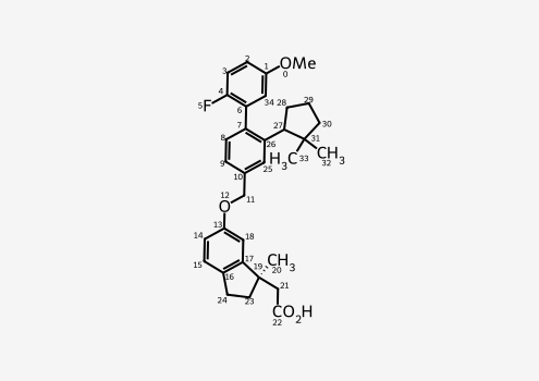 COc1ccc(F)c(-c2ccc(COc3ccc4c(c3)[C@@](C)(CC(=O)O)CC4)cc2C2CCCC2(C)C)c1